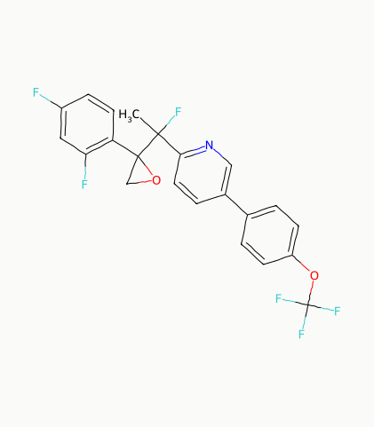 CC(F)(c1ccc(-c2ccc(OC(F)(F)F)cc2)cn1)C1(c2ccc(F)cc2F)CO1